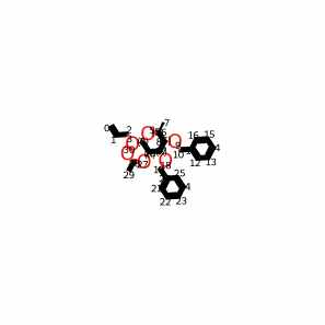 C=CCO[C@@H]1O[C@@H](C)[C@H](OCc2ccccc2)[C@@H](OCc2ccccc2)[C@H]1OC(C)=O